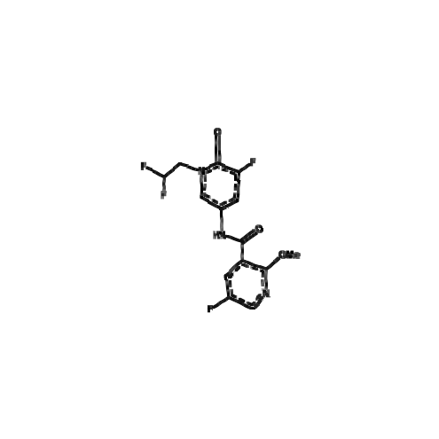 COc1ncc(F)cc1C(=O)Nc1cc(F)c(=O)n(CC(F)F)c1